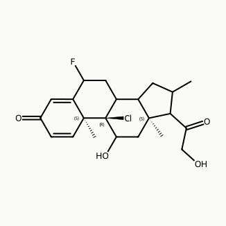 CC1CC2C3CC(F)C4=CC(=O)C=C[C@]4(C)[C@@]3(Cl)C(O)C[C@]2(C)C1C(=O)CO